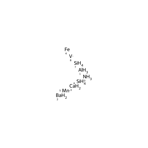 N.[AlH3].[BaH2].[CaH2].[Fe].[Mn].[SiH4].[SiH4].[V]